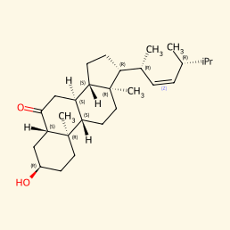 CC(C)[C@@H](C)/C=C\[C@@H](C)[C@H]1CC[C@H]2[C@@H]3CC(=O)[C@H]4C[C@H](O)CC[C@]4(C)[C@H]3CC[C@]12C